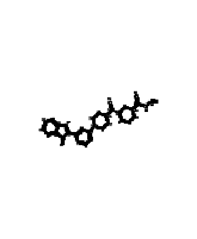 Cn1c(-c2cccc(N3CCN(C(=O)[C@H]4CCCN(C(=O)OC(C)(C)C)C4)CC3)c2)nc2ccccc21